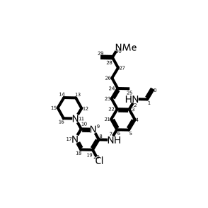 C=CNc1ccc(Nc2nc(N3CCCCC3)ncc2Cl)cc1/C=C(\C)CCC(=C)NC